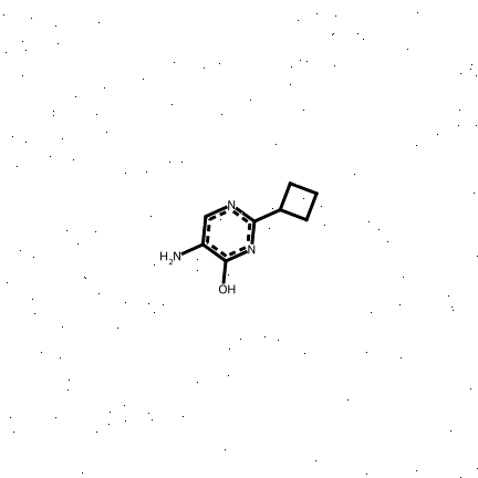 Nc1cnc(C2CCC2)nc1O